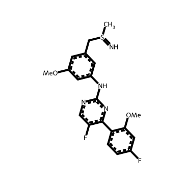 COc1cc(CS(C)=N)cc(Nc2ncc(F)c(-c3ccc(F)cc3OC)n2)c1